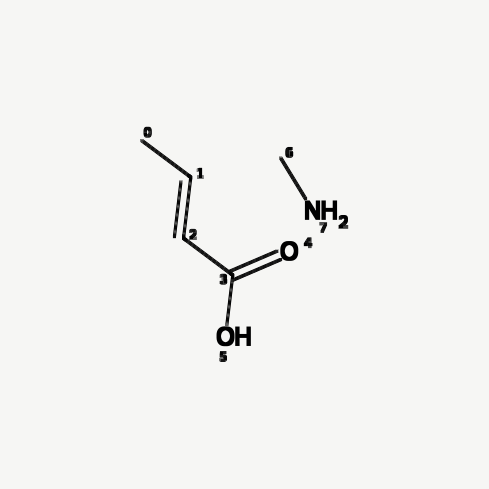 CC=CC(=O)O.CN